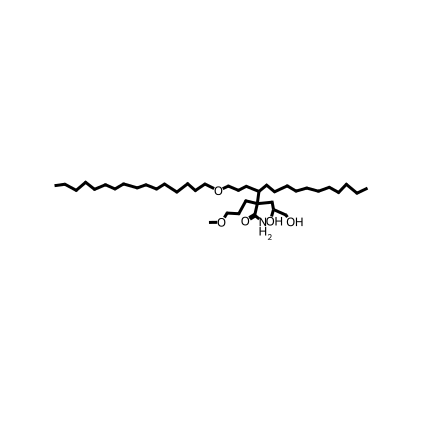 CCCCCCCCCCCCCCCCOCCCC(CCCCCCCCCCC)C(CCCOC)(CC(O)CO)C(N)=O